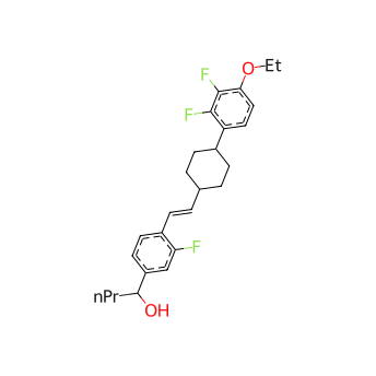 CCCC(O)c1ccc(/C=C/C2CCC(c3ccc(OCC)c(F)c3F)CC2)c(F)c1